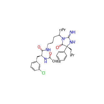 CCCC(CCCNC(=O)[C@H](Cc1cccc(Cl)c1)NC(=O)OC)N1C(=N)N[C@](CC(C)C)(c2ccccc2)C1=O